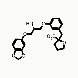 O=C(O)C1(Cc2cccc(OC[C@@H](O)COc3ccc4c(c3)OCO4)c2)CCCO1